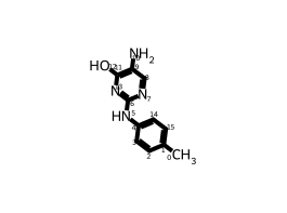 Cc1ccc(Nc2ncc(N)c(O)n2)cc1